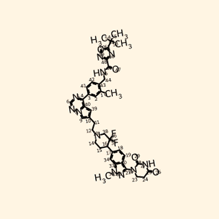 Cc1cc(-c2ncnn3cc(CCN4CCC(c5ccc6c(N7CCC(=O)NC7=O)nn(C)c6c5)C(F)(F)C4)cc23)ccc1CNC(=O)c1noc(C(C)(C)C)n1